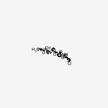 CCCNC(=O)N(C)C1CCN(C[C@@H]2CCCN2C(=O)CN2CCC[C@H](NS(=O)(=O)/C=C/c3ccc(Cl)s3)C2=O)C1